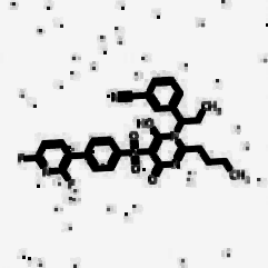 CCCCc1nc(=O)c(S(=O)(=O)c2ccc(-c3ccc(F)nc3F)cc2)c(O)n1C(CC)c1cccc(C#N)c1